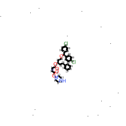 O=C(/C=C\C(=O)ON1CCNCC1)OC(C=Cc1ccccc1)CCOC(c1ccc(Cl)cc1)c1ccc(Cl)cc1